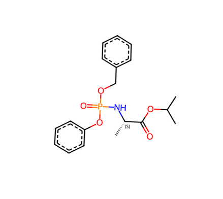 CC(C)OC(=O)[C@H](C)NP(=O)(OCc1ccccc1)Oc1ccccc1